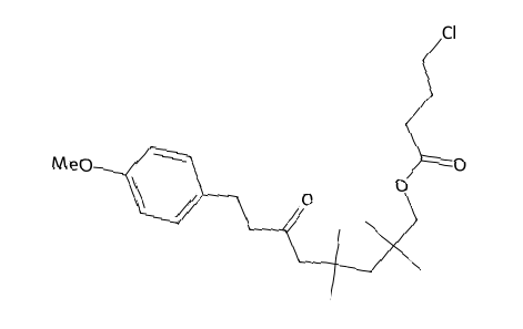 COc1ccc(CCC(=O)CC(C)(C)CC(C)(C)COC(=O)CCCCl)cc1